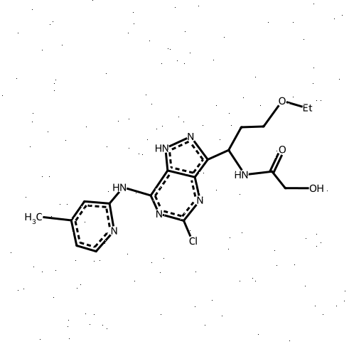 CCOCCC(NC(=O)CO)c1n[nH]c2c(Nc3cc(C)ccn3)nc(Cl)nc12